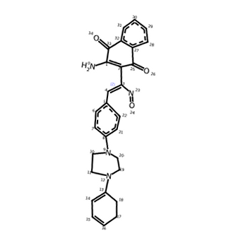 NC1=C(/C(=C/c2ccc(N3CCN(C4=CC=CCC4)CC3)cc2)N=O)C(=O)c2ccccc2C1=O